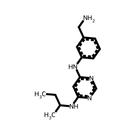 CCC(C)Nc1cc(Nc2cccc(CN)c2)ncn1